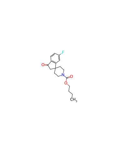 CCCCOC(=O)N1CCC2(CC1)CC(=O)c1ccc(F)cc12